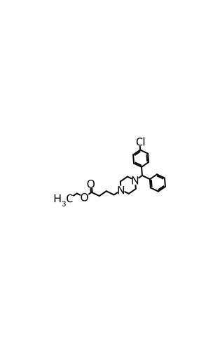 CCOC(=O)CCCN1CCN(C(c2ccccc2)c2ccc(Cl)cc2)CC1